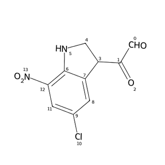 O=CC(=O)C1CNc2c1cc(Cl)cc2[N+](=O)[O-]